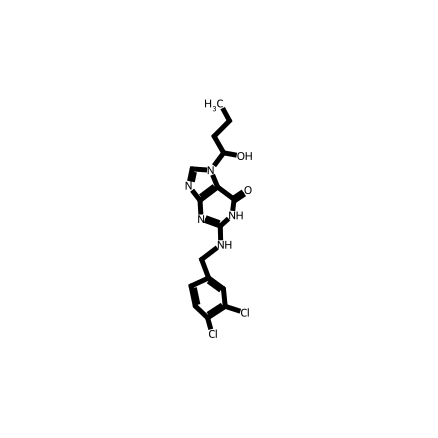 CCCC(O)n1cnc2nc(NCc3ccc(Cl)c(Cl)c3)[nH]c(=O)c21